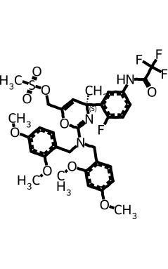 COc1ccc(CN(Cc2ccc(OC)cc2OC)C2=N[C@](C)(c3cc(NC(=O)C(F)(F)F)ccc3F)C=C(COS(C)(=O)=O)O2)c(OC)c1